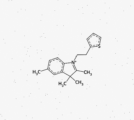 CC1=[N+](CCc2cccs2)c2ccc(C)cc2C1(C)C